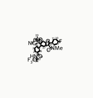 CNC(=O)c1c(-c2ccc(F)cc2)oc2cc(N(CC#N)S(C)(=O)=O)c(-c3cccc(C(=O)NC(C)(C)C(F)(F)F)c3)cc12